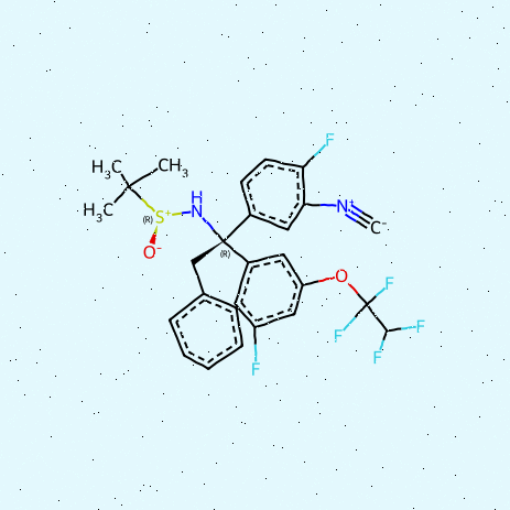 [C-]#[N+]c1cc([C@@](Cc2ccccc2)(N[S@@+]([O-])C(C)(C)C)c2cc(F)cc(OC(F)(F)C(F)F)c2)ccc1F